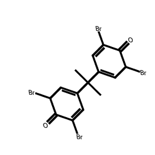 CC(C)(C1=CC(Br)C(=O)C(Br)=C1)C1=CC(Br)C(=O)C(Br)=C1